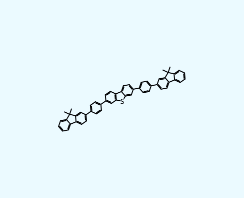 CC1(C)c2ccccc2-c2ccc(-c3ccc(-c4ccc5c(c4)sc4cc(-c6ccc(-c7ccc8c(c7)C(C)(C)c7ccccc7-8)cc6)ccc45)cc3)cc21